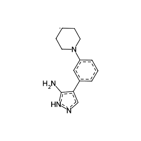 Nc1[nH]ncc1-c1cccc(N2CC[CH]CC2)c1